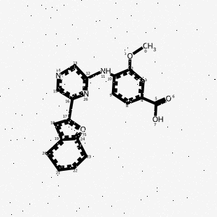 COc1cc(C(=O)O)ccc1Nc1cncc(-c2cc3ccccc3o2)n1